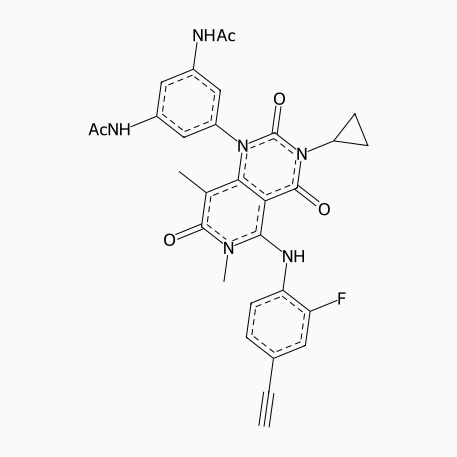 C#Cc1ccc(Nc2c3c(=O)n(C4CC4)c(=O)n(-c4cc(NC(C)=O)cc(NC(C)=O)c4)c3c(C)c(=O)n2C)c(F)c1